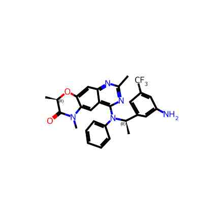 Cc1nc(N(c2ccccc2)[C@H](C)c2cc(N)cc(C(F)(F)F)c2)c2cc3c(cc2n1)O[C@H](C)C(=O)N3C